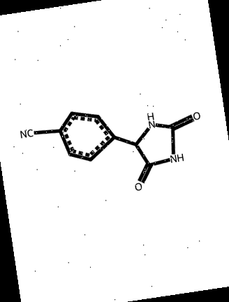 N#Cc1ccc(C2NC(=O)NC2=O)cc1